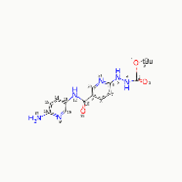 CC(C)(C)OC(=O)NNc1ccc(C(=O)Nc2ccc(N)nc2)cn1